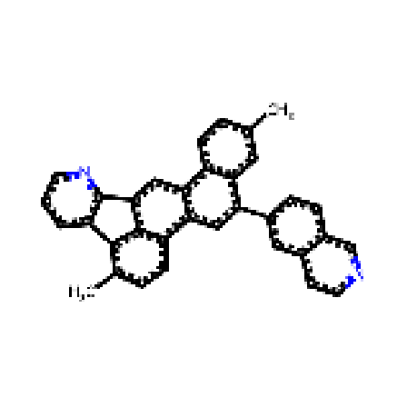 Cc1ccc2c(c1)c(-c1ccc3cnccc3c1)cc1c3ccc(C)c4c3c(cc21)-c1ncccc1-4